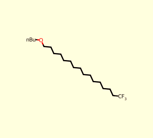 CCCCOCCCCCCCCCCCCCCCC(F)(F)F